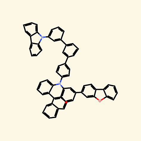 c1cc(-c2ccc(N(c3cccc(-c4ccc5c(c4)oc4ccccc45)c3)c3ccccc3-c3cccc4ccccc34)cc2)cc(-c2cccc(-n3c4ccccc4c4ccccc43)c2)c1